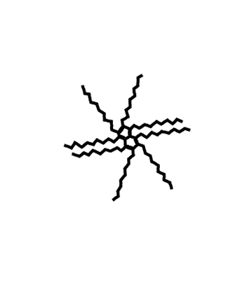 CCCCCCCCCCc1c(CCCCCCCCCC)c(CCCCCCCCCC)c2c(CCCCCCCCCC)c(CCCCCCCCCC)c(CCCCCCCCCC)c(CCCCCCCCCC)c2c1CCCCCCCCCC